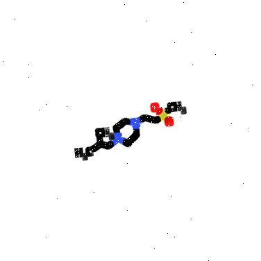 CC(C)CN1CCN(CCS(C)(=O)=O)CC1